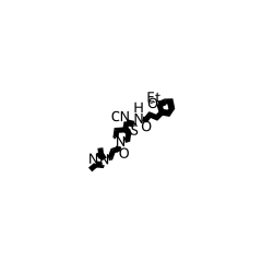 CCOc1ccccc1CCC(=O)Nc1sc2c(c1C#N)CCN(C(=O)CCn1cc(C)nc1C)C2